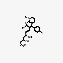 CC(=O)N1CCCc2c1nc(C(C)C)c(C=C[C@@H](O)C[C@@H](O)CC(=O)O)c2-c1ccc(F)cc1